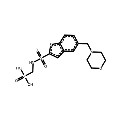 O=P(O)(O)CNS(=O)(=O)c1cc2cc(CN3CCOCC3)ccc2s1